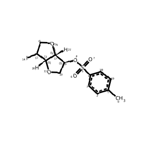 Cc1ccc(S(=O)(=O)O[C@H]2CO[C@@H]3C(I)CO[C@H]23)cc1